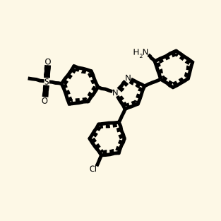 CS(=O)(=O)c1ccc(-n2nc(-c3ccccc3N)cc2-c2ccc(Cl)cc2)cc1